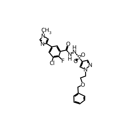 Cn1cnc(-c2cc(Cl)c(F)c(C(=O)NNS(=O)(=O)c3cnn(CCOCc4ccccc4)c3)c2)c1